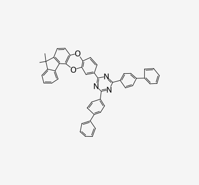 CC1(C)c2ccccc2-c2c1ccc1c2Oc2cc(-c3nc(-c4ccc(-c5ccccc5)cc4)nc(-c4ccc(-c5ccccc5)cc4)n3)ccc2O1